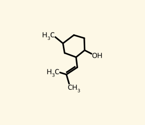 CC(C)=CC1CC(C)CCC1O